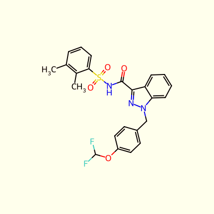 Cc1cccc(S(=O)(=O)NC(=O)c2nn(Cc3ccc(OC(F)F)cc3)c3ccccc23)c1C